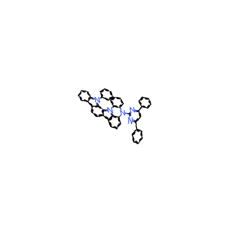 c1ccc(-c2cc(-c3ccccc3)nc(N3c4ccccc4-n4c5c3cccc5c3ccc5c6ccccc6n(-c6ccccc6)c5c34)n2)cc1